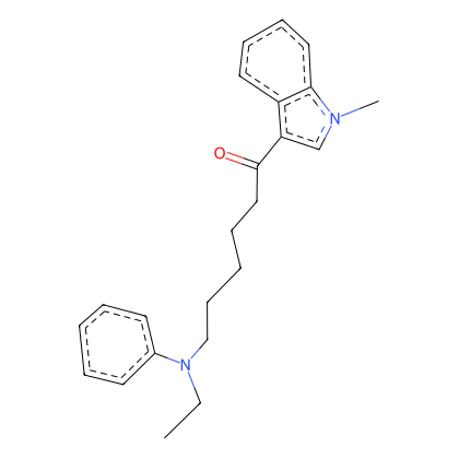 CCN(CCCCCC(=O)c1cn(C)c2ccccc12)c1ccccc1